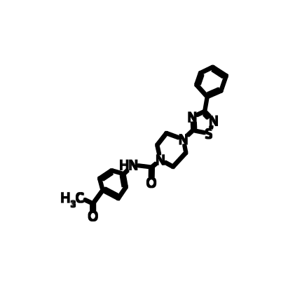 CC(=O)c1ccc(NC(=O)N2CCN(c3nc(-c4ccccc4)ns3)CC2)cc1